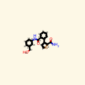 NC(=O)c1sccc1-c1ccccc1C(=O)Nc1cccc(CO)c1